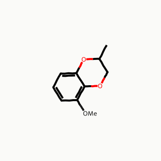 COc1cccc2c1OCC(C)O2